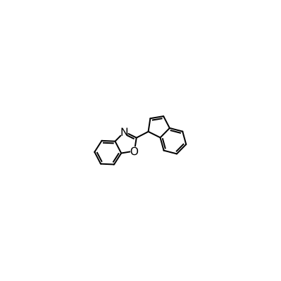 C1=CC(c2nc3ccccc3o2)c2ccccc21